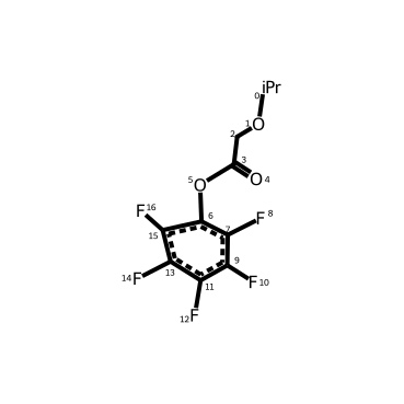 CC(C)OCC(=O)Oc1c(F)c(F)c(F)c(F)c1F